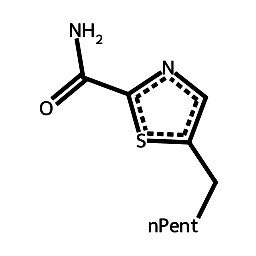 CCCCCCc1cnc(C(N)=O)s1